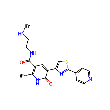 CC(C)NCCNC(=O)c1cc(-c2csc(-c3ccncc3)n2)c(=O)[nH]c1C(C)C